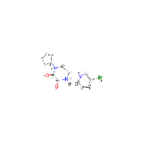 O=C1C(=O)N(C2CCCC2)CCN1Cc1ccc(Br)cn1